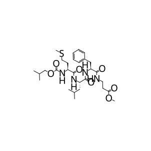 COC(=O)CCNC(=O)[C@H](Cc1ccccc1)NC(=O)[C@H](CC(C)C)NC(=O)[C@H](CCSC)NC(=O)OCC(C)C